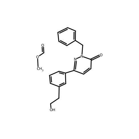 COC=O.O=c1ccc(-c2cccc(CCO)c2)nn1Cc1ccccc1